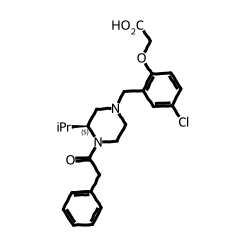 CC(C)[C@H]1CN(Cc2cc(Cl)ccc2OCC(=O)O)CCN1C(=O)Cc1ccccc1